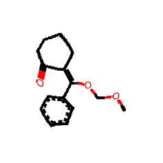 COCOC(=C1CCCCC1=O)c1ccccc1